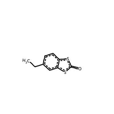 CCc1ccc2sc(=O)sc2c1